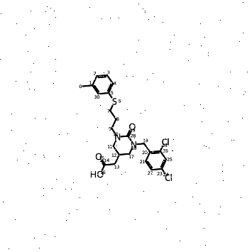 Cc1cccc(SCCCN2CC(CC(=O)O)CN(Cc3ccc(Cl)cc3Cl)C2=O)c1